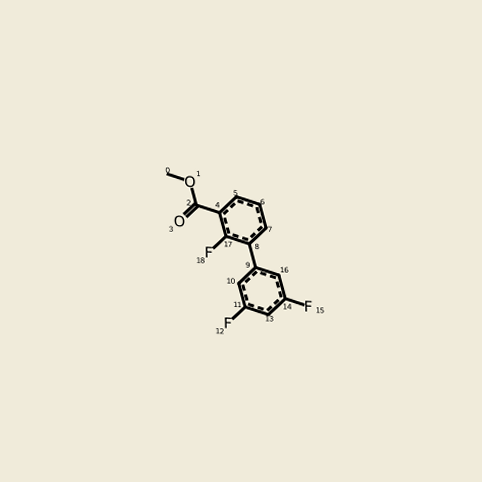 COC(=O)c1cccc(-c2cc(F)cc(F)c2)c1F